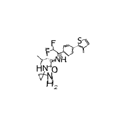 Cc1ccsc1-c1ccc([C@H](N[C@@H](CC(C)C)C(=O)NC2(N)CC2)C(F)F)cc1